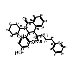 COc1cc(O)ccc1C1C(C(=O)NCCc2ccccn2)c2ccccc2C(=O)N1C1CCCCC1O